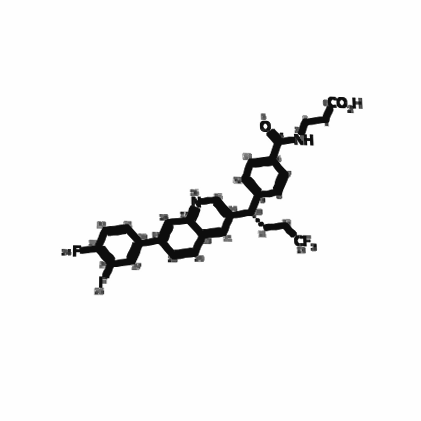 O=C(O)CCNC(=O)c1ccc([C@H](CCC(F)(F)F)c2cnc3cc(-c4ccc(F)c(F)c4)ccc3c2)cc1